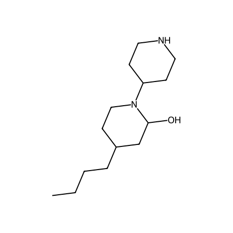 CCCCC1CCN(C2CCNCC2)C(O)C1